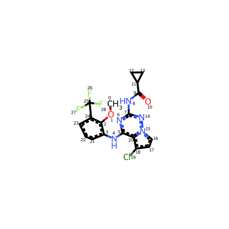 COc1c(Nc2nc(NC(=O)C3CC3)nn3ccc(Cl)c23)cccc1C(F)(F)F